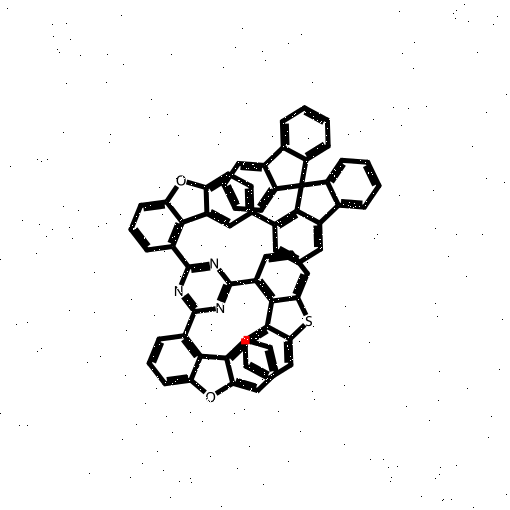 c1ccc2c(c1)-c1ccccc1C21c2ccccc2-c2cccc(-c3ccc4oc5cccc(-c6nc(-c7cccc8oc9ccccc9c78)nc(-c7cccc8sc9ccccc9c78)n6)c5c4c3)c21